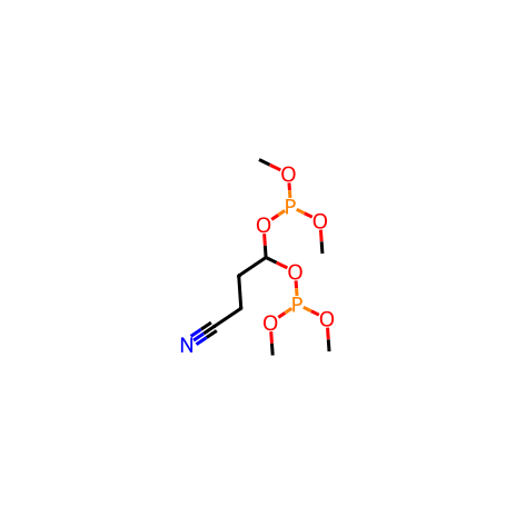 COP(OC)OC(CCC#N)OP(OC)OC